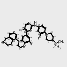 CN(C)C1CCN(c2ccc(Nc3ncc(F)c(-c4cc(F)c5c(c4)N(c4cccc6c4CCNC6)CCO5)n3)cc2F)CC1